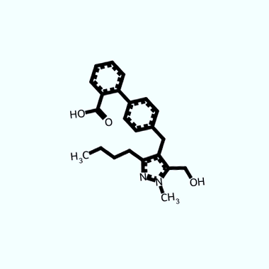 CCCCc1nn(C)c(CO)c1Cc1ccc(-c2ccccc2C(=O)O)cc1